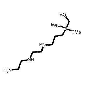 CO[Si](CO)(CCCNCCNCCN)OC